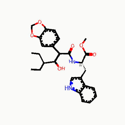 CCC(CC)C(O)C(C(=O)N[C@@H](Cc1c[nH]c2ccccc12)C(=O)OC)c1ccc2c(c1)OCO2